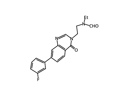 CCN(C=O)CCn1cnc2cc(-c3cccc(F)c3)ccc2c1=O